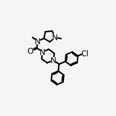 CN1CCC(N(C)C(=O)N2CCN(C(c3ccccc3)c3ccc(Cl)cc3)CC2)C1